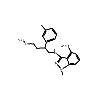 CCCCOCCC(CNc1nn(C)c2cccc(OC)c12)c1cccc(F)c1